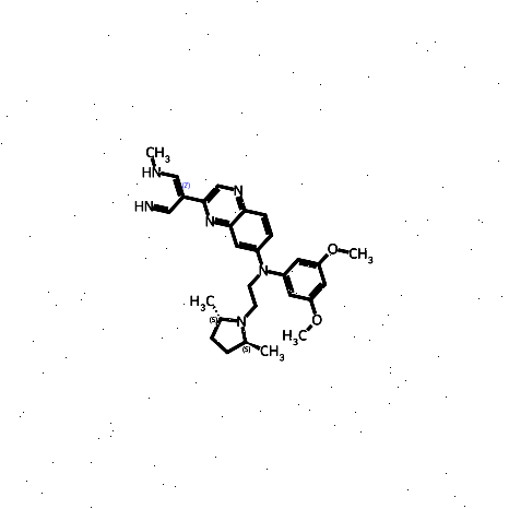 CN/C=C(\C=N)c1cnc2ccc(N(CCN3[C@@H](C)CC[C@@H]3C)c3cc(OC)cc(OC)c3)cc2n1